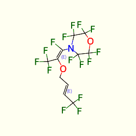 F/C(=C(/OC/C=C/C(F)(F)F)C(F)(F)F)N1C(F)(F)C(F)(F)OC(F)(F)C1(F)F